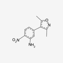 Cc1noc(C)c1-c1ccc([N+](=O)[O-])c(N)c1